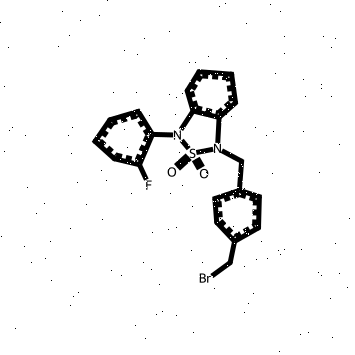 O=S1(=O)N(Cc2ccc(CBr)cc2)c2ccccc2N1c1ccccc1F